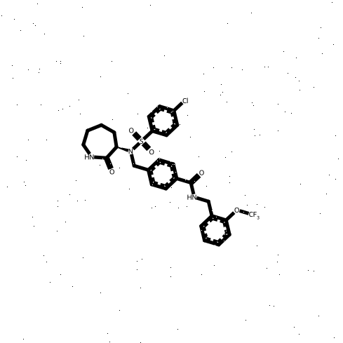 O=C(NCc1ccccc1OC(F)(F)F)c1ccc(CN([C@@H]2CCCCNC2=O)S(=O)(=O)c2ccc(Cl)cc2)cc1